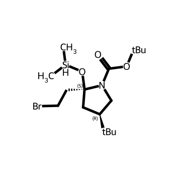 C[SiH](C)O[C@]1(CCBr)C[C@H](C(C)(C)C)CN1C(=O)OC(C)(C)C